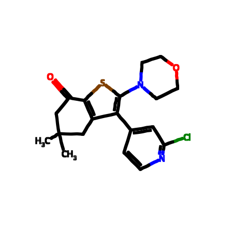 CC1(C)CC(=O)c2sc(N3CCOCC3)c(-c3ccnc(Cl)c3)c2C1